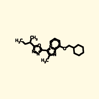 CCC(C)c1nnc(-c2c(C)nc3c(OCC4CCCCC4)cccn23)o1